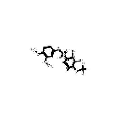 COc1ccc(NS(=O)(=O)c2cc(F)c(OC(F)(F)F)c(F)c2F)cc1OC